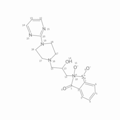 O=C1c2ccccc2[S+]([O-])[N+]1([O-])CC(O)CN1CCN(c2ncccn2)CC1